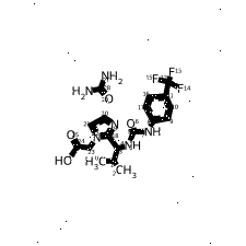 CC(C)C(NC(=O)Nc1ccc(C(F)(F)F)cc1)c1nccn1CC(=O)O.NC(N)=O